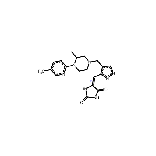 CC1CN(Cc2c[nH]nc2/C=C2/NC(=O)NC2=O)CCN1c1ccc(C(F)(F)F)cn1